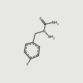 NC(=S)N(N)Cc1ccc(F)cc1